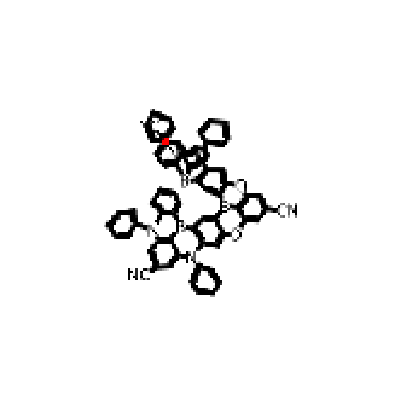 N#Cc1cc2c3c(c1)Oc1cc4c(cc1B3c1cc3c(cc1O2)N(c1ccccc1)c1cc(C#N)cc2c1B3c1ccccc1N2c1ccccc1)B1c2ccccc2N(c2ccccc2)c2cc(C#N)cc(c21)N4c1ccccc1